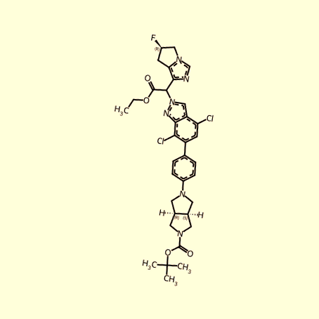 CCOC(=O)C(c1ncn2c1C[C@@H](F)C2)n1cc2c(Cl)cc(-c3ccc(N4C[C@H]5CN(C(=O)OC(C)(C)C)C[C@H]5C4)cc3)c(Cl)c2n1